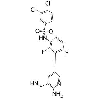 N=Cc1cc(C#Cc2c(F)ccc(NS(=O)(=O)c3ccc(Cl)c(Cl)c3)c2F)cnc1N